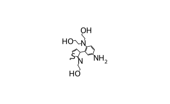 C=S1C=CC(c2cc(N)ccc2N(CCO)CCO)C1=NCCO